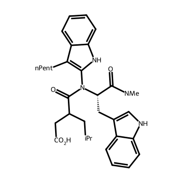 CCCCCc1c(N(C(=O)C(CC(=O)O)CC(C)C)[C@@H](Cc2c[nH]c3ccccc23)C(=O)NC)[nH]c2ccccc12